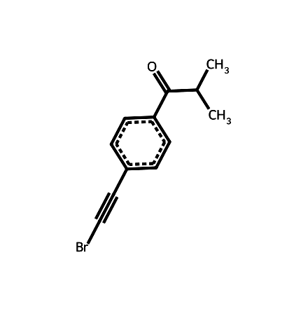 CC(C)C(=O)c1ccc(C#CBr)cc1